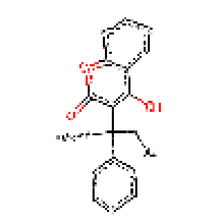 CCCCCC(CC(C)=O)(c1ccccc1)c1c(O)c2ccccc2oc1=O